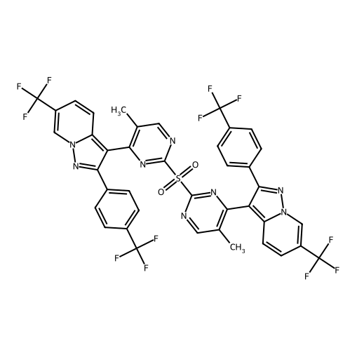 Cc1cnc(S(=O)(=O)c2ncc(C)c(-c3c(-c4ccc(C(F)(F)F)cc4)nn4cc(C(F)(F)F)ccc34)n2)nc1-c1c(-c2ccc(C(F)(F)F)cc2)nn2cc(C(F)(F)F)ccc12